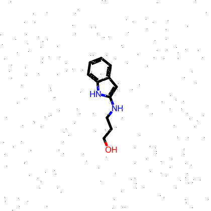 OCCCNc1cc2ccccc2[nH]1